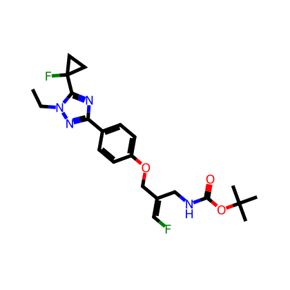 CCn1nc(-c2ccc(OC/C(=C/F)CNC(=O)OC(C)(C)C)cc2)nc1C1(F)CC1